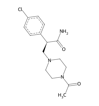 CC(=O)N1CCN(C[C@H](C(N)=O)c2ccc(Cl)cc2)CC1